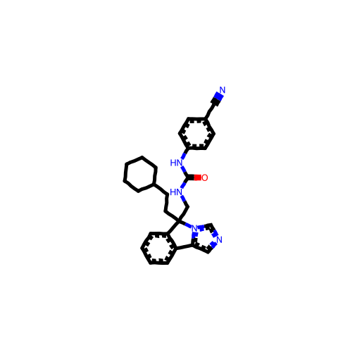 N#Cc1ccc(NC(=O)NCC2(CCC3CCCCC3)c3ccccc3-c3cncn32)cc1